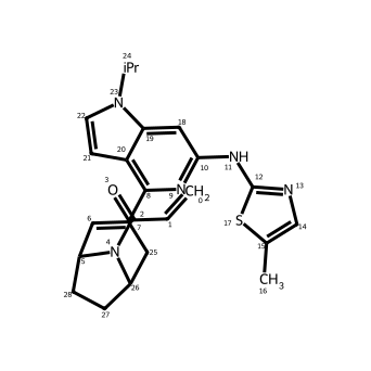 C=CC(=O)N1C2C=C(c3nc(Nc4ncc(C)s4)cc4c3ccn4C(C)C)CC1CC2